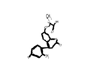 Cc1cc(F)ccc1-c1cc(Cl)nc2cc(O[C@H](C)C(=O)O)ccc12